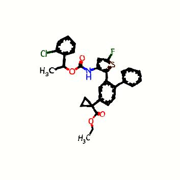 CCOC(=O)C1(c2ccc(-c3ccccc3)c(-c3sc(F)cc3NC(=O)OC(C)c3ccccc3Cl)c2)CC1